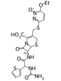 CCOc1ccc(SCC2=C(C(=O)O)N3C(=O)[C@H](NC(=O)C(NC(N)=O)c4cccs4)C3SC2)n[n+]1[O-]